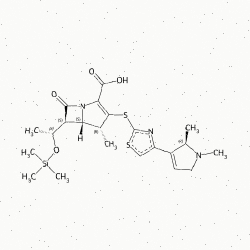 C[C@@H]1C(c2csc(SC3=C(C(=O)O)N4C(=O)[C@H]([C@@H](C)O[Si](C)(C)C)[C@H]4[C@H]3C)n2)=CCN1C